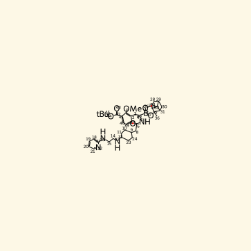 COc1c(C[C@H](NC(=O)CC2CCC(NCCNc3ccccn3)CC2)B2OC3CC4CC(C4(C)C)C3(C)O2)cccc1C(=O)OC(C)(C)C